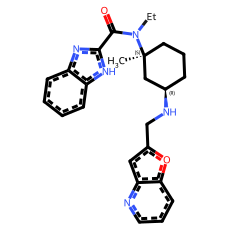 CCN(C(=O)c1nc2ccccc2[nH]1)[C@@]1(C)CCC[C@@H](NCc2cc3ncccc3o2)C1